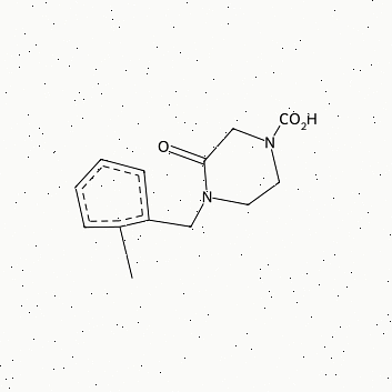 Cc1ccccc1CN1CCN(C(=O)O)CC1=O